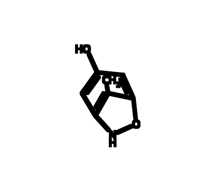 Cc1c2cc(O)cc1ON2